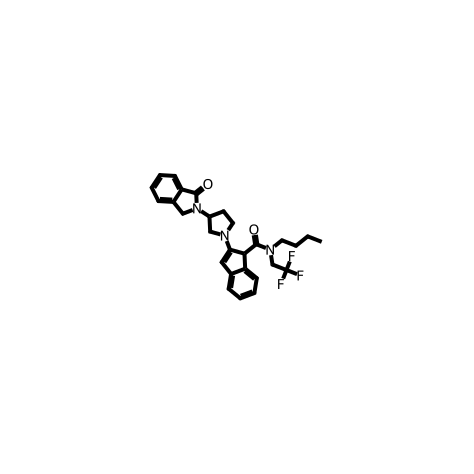 CCCCN(CC(F)(F)F)C(=O)C1C(N2CCC(N3Cc4ccccc4C3=O)C2)=Cc2ccccc21